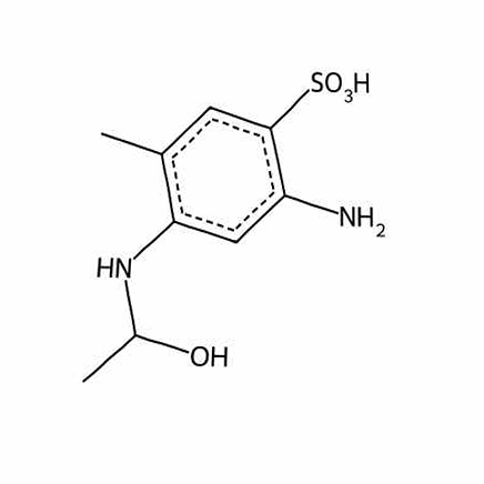 Cc1cc(S(=O)(=O)O)c(N)cc1NC(C)O